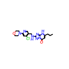 CCCc1cc(=O)n2nc(NCc3cnc(N4CCOCC4)cc3Cl)nc2[nH]1